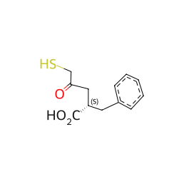 O=C(CS)C[C@H](Cc1ccccc1)C(=O)O